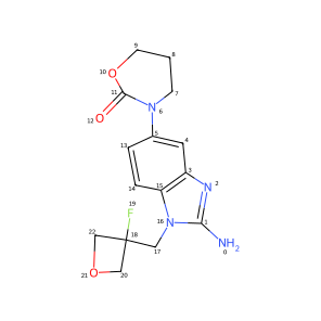 Nc1nc2cc(N3CCCOC3=O)ccc2n1CC1(F)COC1